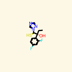 CC[C@@](O)(c1ccc(F)cc1F)C(S)n1cncn1